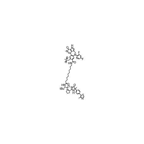 Cc1ncsc1-c1ccc([C@]2(C)NC(C3CCCN3C(=O)C(NC(=O)CCCCCCCCCCNC(=O)c3cc4c(cc3CS(C)(=O)=O)-c3cn(C)c(=O)c5[nH]cc(c35)CN4c3ncc(F)cc3F)C(C)(C)C)=NC2=O)cc1